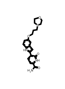 NC(=O)c1[c]cc(-c2cc3cc(OCCCN4CCOCC4)ccc3[nH]2)c(=O)[nH]1